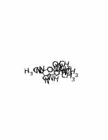 CN(C)Cc1ccc(-c2cc3c(-c4cn(C)nc4-c4ccc(NC(=O)N(C)C)cc4)ccnc3[nH]2)cc1